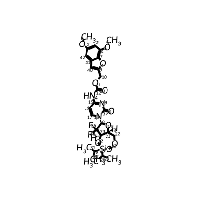 COc1cc(OC)c2oc(COC(=O)Nc3ccn([C@@H]4O[C@@H]5COO[Si](C(C)C)(C(C)C)O[C@H]5C4(F)F)c(=O)n3)cc2c1